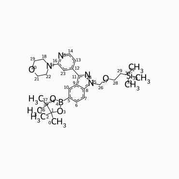 CC1(C)OB(c2ccc3c(c2)c(-c2ccnc(N4CCOCC4)c2)nn3COCC[Si](C)(C)C)OC1(C)C